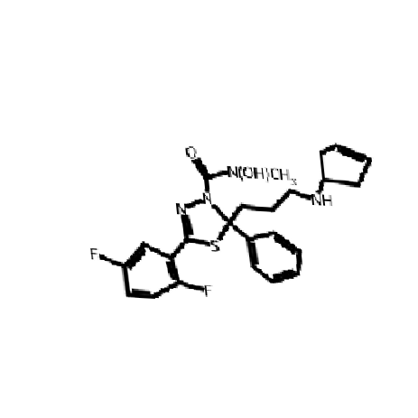 CN(O)C(=O)N1N=C(c2cc(F)ccc2F)SC1(CCCNC1CC=CC1)c1ccccc1